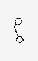 C(#Cc1cccnc1)CN1CCCCC1